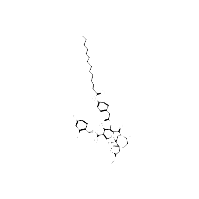 CCCCCCCCCCCCCC(=O)Oc1ccc(CC(=O)Oc2c3n(cc(C(=O)NCc4ccc(F)cc4F)c2=O)[C@@H]2CN(C3=O)[C@@H](C)CC[C@]23CC(OC)=NO3)cc1